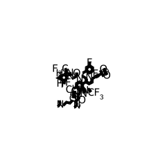 CN(C)CCCC[C@@H](C(=O)N(c1nn(CC(F)(F)F)c2c(-c3ccc(C#CC(C)(C)S(C)(=O)=O)nc3[C@H](Cc3cc(F)cc(F)c3)NC(=O)Cn3nc(C(F)(F)F)c4c3C(F)(F)[C@@H]3C[C@H]43)ccc(Cl)c12)S(C)(=O)=O)N(C)C